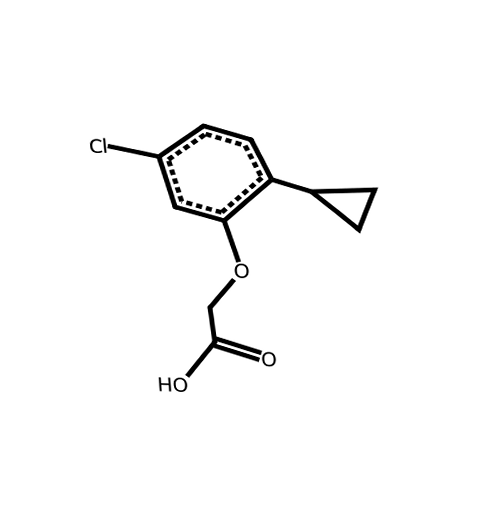 O=C(O)COc1cc(Cl)ccc1C1CC1